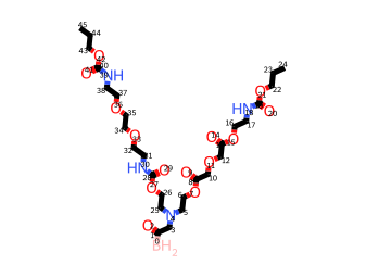 BC(=O)CN(CCOC(=O)COCC(=O)OCCNC(=O)OCCC)CCOC(=O)NCCOCCOCCNC(=O)OCCC